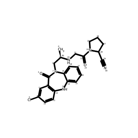 C[C@H](CN1C(=O)c2cc(Cl)ccc2Nc2ccccc21)NCC(=O)N1CCCC1C#N